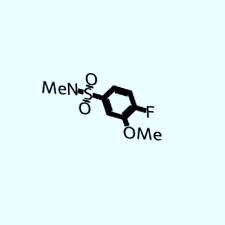 CNS(=O)(=O)c1ccc(F)c(OC)c1